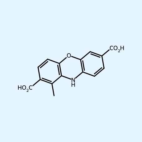 Cc1c(C(=O)O)ccc2c1Nc1ccc(C(=O)O)cc1O2